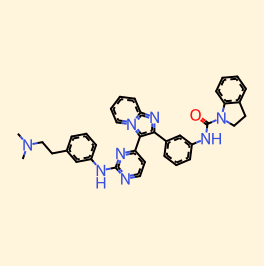 CN(C)CCc1cccc(Nc2nccc(-c3c(-c4cccc(NC(=O)N5CCc6ccccc65)c4)nc4ccccn34)n2)c1